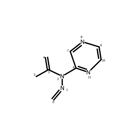 C=NN(C(=C)C)c1cnccn1